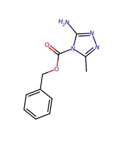 Cc1nnc(N)n1C(=O)OCc1ccccc1